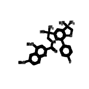 COc1ccc2nc(C(=O)NC[C@](O)(c3cc4c(c(-c5ccc(F)cc5)n3)OC[C@@]4(N)C(F)(F)F)C(F)(F)F)cc(OC)c2c1